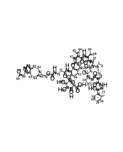 CC[C@H](C)[C@@H]([C@@H](CC(=O)N1CCC[C@H]1[C@H](OC)[C@@H](C)C(=O)N[C@H](C)[C@@H](O)c1ccccc1)OC)N(C)C(=O)[C@@H](NC(=O)[C@H](C(C)C)N(C)C(=O)OCc1ccc(O[C@@H]2OC(C(=O)O)[C@H](O)[C@H](O)C2O)c(NC(=O)CCNC(=O)OCC2C3CCc4nnn(CC(C)=O)c4CCC32)c1)C(C)C